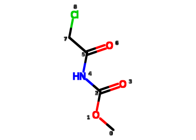 COC(=O)NC(=O)CCl